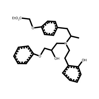 CCOC(=O)COc1ccc(CC(C)N(CCc2ccccc2O)CC(O)COc2ccccc2)cc1